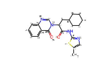 Cc1cnc(NC(=O)C(CC2CCCCC2)n2cnc3ccccc3c2=O)s1